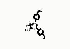 CCc1ccc(CCOc2ccc(C=O)cc2)nc1.O=C(O)C(F)(F)F